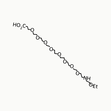 CCOCCNCCOCCOCCOCCOCCOCCOCCOCCOCCC(=O)O